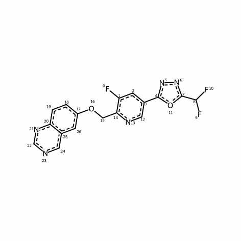 Fc1cc(-c2nnc(C(F)F)o2)cnc1COc1ccc2ncncc2c1